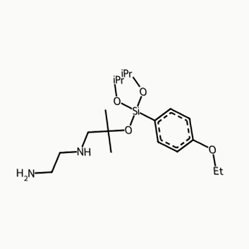 CCOc1ccc([Si](OC(C)C)(OC(C)C)OC(C)(C)CNCCN)cc1